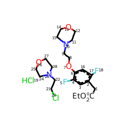 CCOC(=O)Cc1cc(F)c(OCCN2CCOCC2)cc1F.Cl.ClCCN1CCOCC1